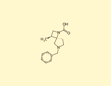 C[C@H]1CN(C(=O)O)[C@]12CCN(Cc1ccccc1)C2